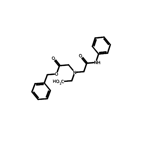 O=C(O)CN(CC(=O)Nc1ccccc1)CC(=O)OCc1ccccc1